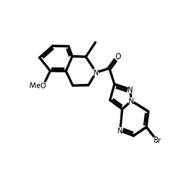 COc1cccc2c1CCN(C(=O)c1cc3ncc(Br)cn3n1)C2C